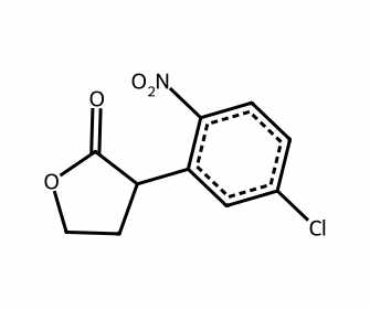 O=C1OCCC1c1cc(Cl)ccc1[N+](=O)[O-]